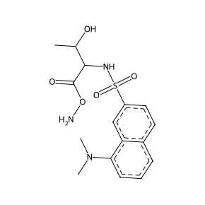 CC(O)C(NS(=O)(=O)c1ccc2cccc(N(C)C)c2c1)C(=O)ON